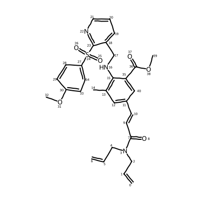 C=CCN(CC=C)C(=O)/C=C/c1cc(C)c(NCc2cccnc2S(=O)(=O)c2ccc(OC)cc2)c(C(=O)OC)c1